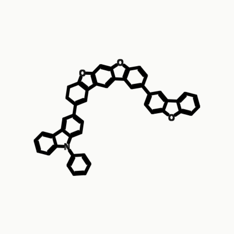 C1=C(c2ccc3c(c2)c2ccccc2n3-c2ccccc2)CCc2oc3cc4oc5ccc(-c6ccc7oc8ccccc8c7c6)cc5c4cc3c21